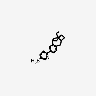 Bc1ccc(-c2ccc3c(c2)C2CC4CC(C3)C4(CC)C2)nc1